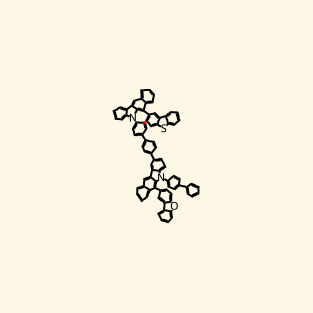 c1ccc(-c2ccc(-n3c4ccc(-c5ccc(-c6ccc(-n7c8ccccc8c8cc9ccccc9c(-c9ccc%10sc%11ccccc%11c%10c9)c87)cc6)cc5)cc4c4cc5ccccc5c(-c5ccc6oc7ccccc7c6c5)c43)cc2)cc1